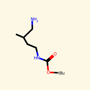 CC(CN)CCNC(=O)OC(C)(C)C